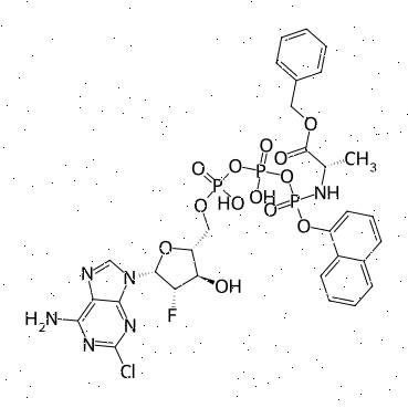 C[C@H](NP(=O)(Oc1cccc2ccccc12)OP(=O)(O)OP(=O)(O)OC[C@H]1O[C@@H](n2cnc3c(N)nc(Cl)nc32)[C@@H](F)[C@@H]1O)C(=O)OCc1ccccc1